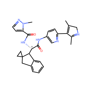 CC1=NCC(C)=C1c1ccc(NC(=O)[C@@H](NC(=O)c2ccnn2C)C2c3ccccc3CC23CC3)cn1